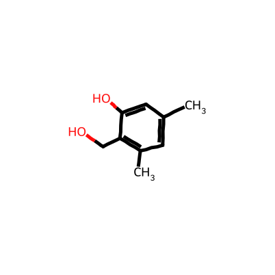 Cc1cc(C)c(CO)c(O)c1